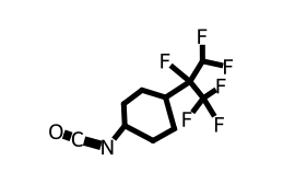 O=C=NC1CCC(C(F)(C(F)F)C(F)(F)F)CC1